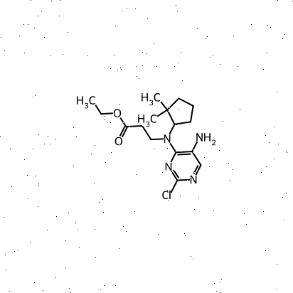 CCOC(=O)CCN(c1nc(Cl)ncc1N)C1CCCC1(C)C